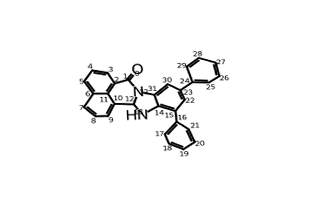 O=C1c2cccc3cccc(c23)C2Nc3c(-c4ccccc4)cc(-c4ccccc4)cc3N12